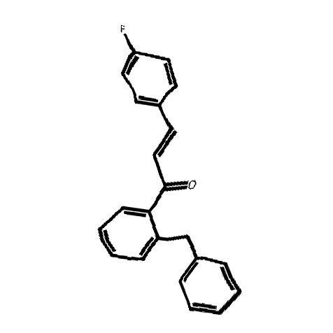 O=C(C=Cc1ccc(F)cc1)c1ccccc1Cc1ccccc1